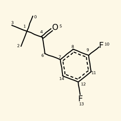 CC(C)(C)C(=O)Cc1cc(F)cc(F)c1